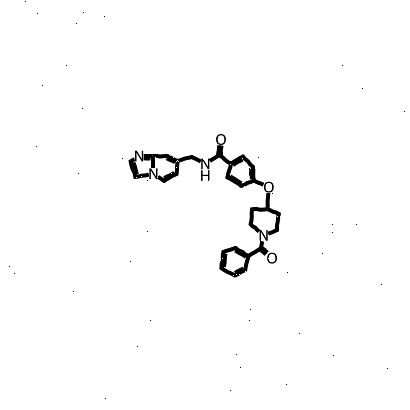 O=C(NCc1ccn2ccnc2c1)c1ccc(OC2CCN(C(=O)c3ccccc3)CC2)cc1